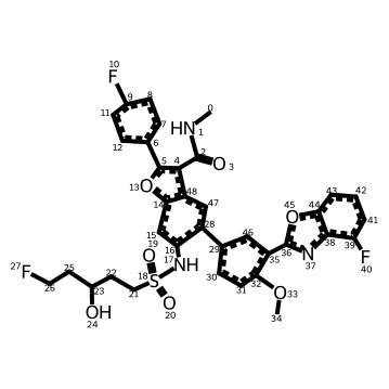 CNC(=O)c1c(-c2ccc(F)cc2)oc2cc(NS(=O)(=O)CCC(O)CCF)c(-c3ccc(OC)c(-c4nc5c(F)cccc5o4)c3)cc12